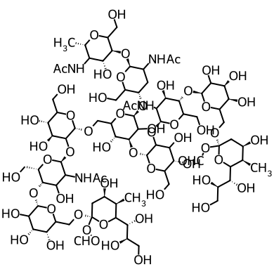 CC(=O)NC1C[C@H](O[C@@H]2OC(CO[C@H]3OC(CO)[C@@H](O)[C@H](O)C3O[C@@H]3O[C@@H](CO)[C@@H](O[C@@H]4OC(CO[C@]5(OC=O)C[C@@H](O)[C@@H](C)C([C@H](O)[C@H](O)CO)O5)[C@H](O)[C@H](O)C4O)C(O)C3NC(C)=O)[C@@H](O)[C@H](O[C@H]3OC(CO)[C@@H](O)C(O)C3O[C@@H]3OC(CO)[C@@H](O[C@@H]4OC(CO[C@]5(OC=O)C[C@@H](O)[C@@H](C)C([C@H](O)[C@H](O)CO)O5)[C@H](O)[C@H](O)C4O)[C@H](O)C3NC(C)=O)C2O)C(CO)O[C@H]1O[C@@H]1C(CO)O[C@@H](C)C(NC(C)=O)[C@H]1O